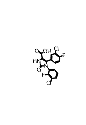 O=C(O)c1[nH]c(=O)n(-c2cccc(Cl)c2F)c1-c1ccc(F)c(Cl)c1